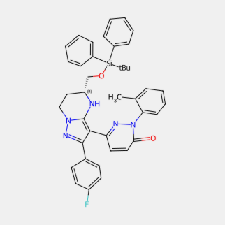 Cc1ccccc1-n1nc(-c2c(-c3ccc(F)cc3)nn3c2N[C@@H](CO[Si](c2ccccc2)(c2ccccc2)C(C)(C)C)CC3)ccc1=O